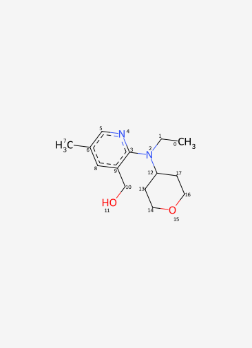 CCN(c1ncc(C)cc1CO)C1CCOCC1